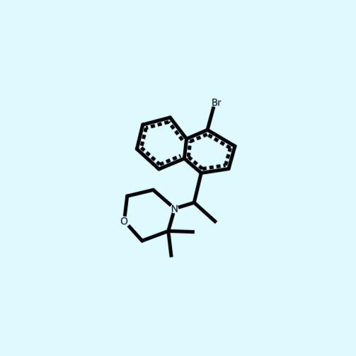 CC(c1ccc(Br)c2ccccc12)N1CCOCC1(C)C